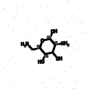 NC[C@@H]1O[C@H](O)[C@H](N)C(O)[C@@H]1O